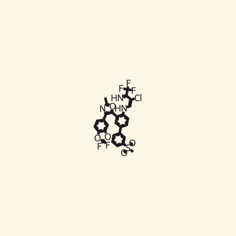 Cc1nc(-c2ccc3c(c2)OC(F)(F)O3)c(-c2cc(-c3cccc(S(C)(=O)=O)c3)ccc2N/C=C(/Cl)C(=N)C(F)(F)F)o1